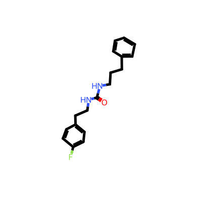 O=C(NCCCc1ccccc1)NCCc1ccc(F)cc1